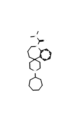 CN(C)C(=O)N1CCCC2(CCN(C3CCCCCC3)CC2)c2ccccc21